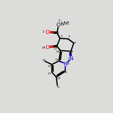 COC(=O)C1CCc2nn3cc(C)cc(C)c3c2C1=O